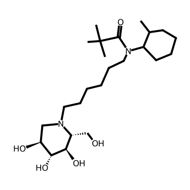 CC1CCCCC1N(CCCCCCN1C[C@H](O)[C@@H](O)[C@H](O)[C@H]1CO)C(=O)C(C)(C)C